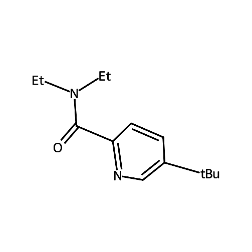 CCN(CC)C(=O)c1ccc(C(C)(C)C)cn1